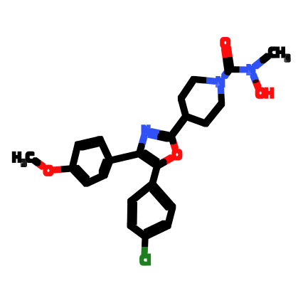 COc1ccc(-c2nc(C3CCN(C(=O)N(C)O)CC3)oc2-c2ccc(Cl)cc2)cc1